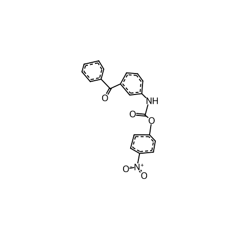 O=C(Nc1cccc(C(=O)c2ccccc2)c1)Oc1ccc([N+](=O)[O-])cc1